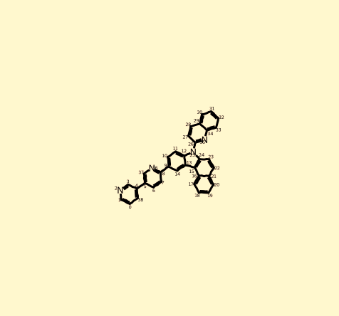 c1cncc(-c2ccc(-c3ccc4c(c3)c3c5ccccc5ccc3n4-c3ccc4ccccc4n3)nc2)c1